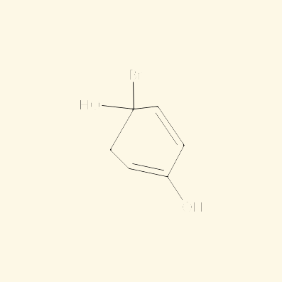 OC1=CCC(O)(Br)C=C1